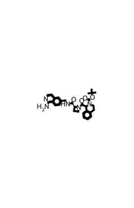 CC(C)(C)OC(=O)N1CCc2ccccc2C1C(=O)N1CC[C@H]1C(=O)NCc1ccc2c(N)nccc2c1